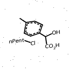 CCCCCCl.Cc1ccc(C(O)C(=O)O)cc1